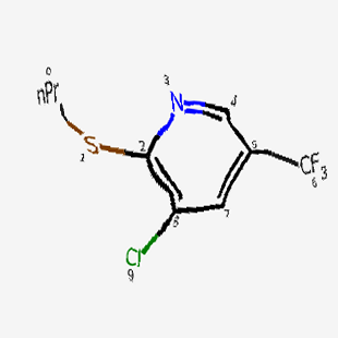 CCCSc1ncc(C(F)(F)F)cc1Cl